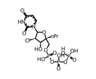 CCC[C@]1(COP(=O)(O)OP(=O)(O)OP(=O)(O)O)OC(n2ccc(=O)[nH]c2=O)[C@H](Cl)[C@@H]1O